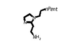 CCCCCCCN1CCN=C1CCN